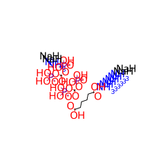 N.N.N.N.N.N.N.N.O=C(O)CCCCC(=O)O.O=C(OP(=O)(O)O)OP(=O)(O)O.O=C(OP(=O)(O)O)OP(=O)(O)O.[NaH].[NaH].[NaH].[NaH]